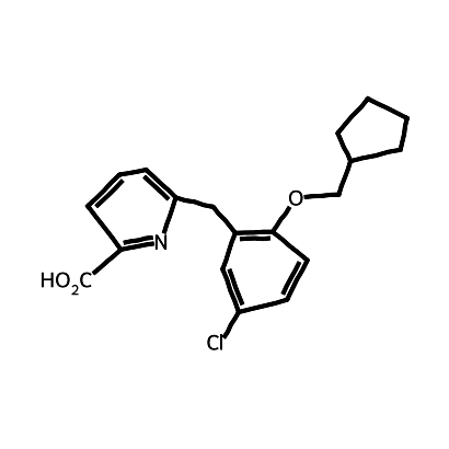 O=C(O)c1cccc(Cc2cc(Cl)ccc2OCC2CCCC2)n1